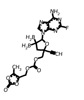 BC1(B)CC(C#C)(COC(=O)OCc2oc(=O)oc2C)OC1n1cnc2c(N)nc(F)nc21